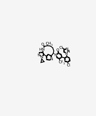 C[C@@H]1CCC[C@H](n2cc(C(F)(F)F)c(-c3cc(Cl)ccc3-n3cc(Cl)nn3)cc2=O)c2cc(ccn2)-c2c(cnn2C2CC2)NC1=O